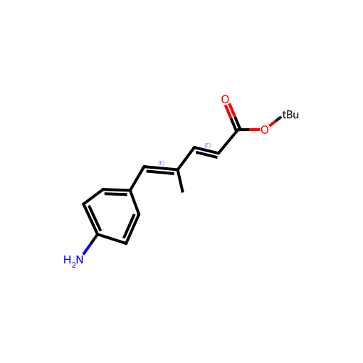 CC(/C=C/C(=O)OC(C)(C)C)=C\c1ccc(N)cc1